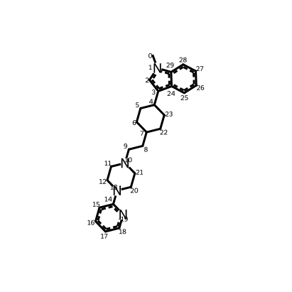 Cn1cc(C2CCC(CCN3CCN(c4ccccn4)CC3)CC2)c2ccccc21